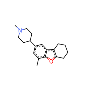 Cc1cc(C2CCN(C)CC2)cc2c3c(oc12)CCCC3